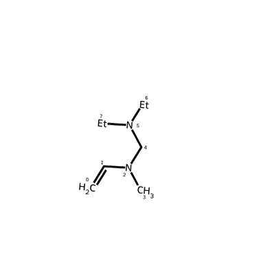 C=CN(C)CN(CC)CC